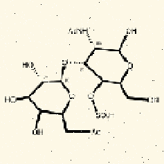 CC(=O)CC1O[C@H](O[C@H]2C(OS(=O)(=O)O)C(CO)OC(O)[C@H]2NC(C)=O)[C@@H](O)C(O)C1O